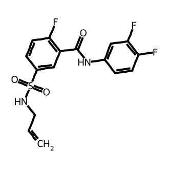 C=CCNS(=O)(=O)c1ccc(F)c(C(=O)Nc2ccc(F)c(F)c2)c1